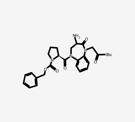 CC(C)(C)C(=O)CN1C(=O)C(N)CN(C(=O)[C@@H]2CCCN2C(=O)OCc2ccccc2)c2ccccc21